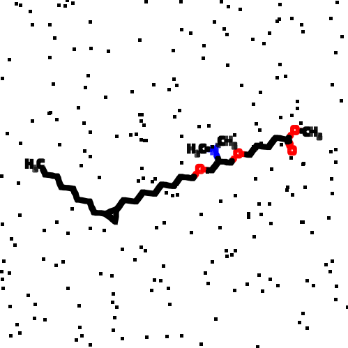 CCCCCCCCC1CC1CCCCCCCCOCC(COCCCCC(=O)OC)N(C)C